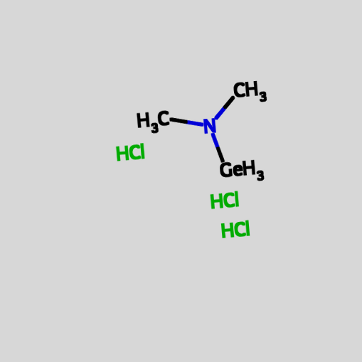 C[N](C)[GeH3].Cl.Cl.Cl